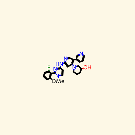 COc1cccc(F)c1-c1nccc(Nc2cc(N3CCC[C@H](O)C3)c(-c3cccnc3)cn2)n1